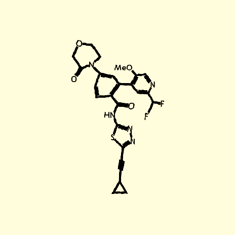 COc1cnc(C(F)F)cc1-c1cc(N2CCOCC2=O)ccc1C(=O)Nc1nnc(C#CC2CC2)s1